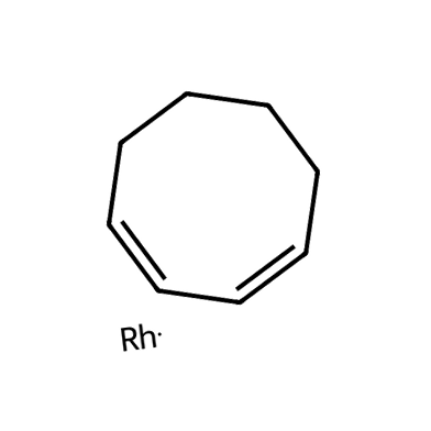 C1=C\CCCC\C=C/1.[Rh]